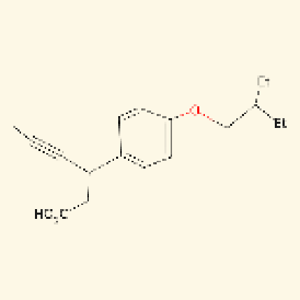 CC#CC(CC(=O)O)c1ccc(OCC(CC)CC)cc1